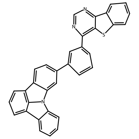 c1cc(-c2ccc3c4cccc5c6ccccc6n(c3c2)c54)cc(-c2ncnc3c2sc2ccccc23)c1